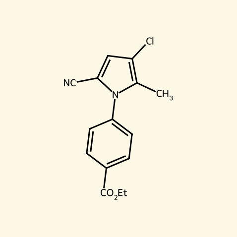 CCOC(=O)c1ccc(-n2c(C#N)cc(Cl)c2C)cc1